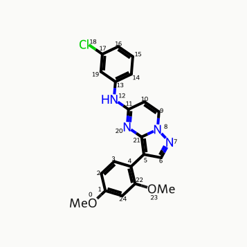 COc1ccc(-c2cnn3ccc(Nc4cccc(Cl)c4)nc23)c(OC)c1